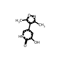 Cc1noc(C)c1-c1c[nH]c(=O)c(O)c1